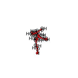 CO[C@H]1O[C@H](CO[C@H]2O[C@H](CO[C@H]3O[C@H](CO[C@H]4O[C@H](CO)[C@@H](OCCCCCC(=O)NCCNC(=O)CCSSc5ccccn5)[C@H](O)[C@H]4O)[C@@H](OCCCCCC(=O)NNC(=O)OC(C)(C)C)[C@H](O)[C@H]3O)[C@@H](OCCCCCC(=O)O)[C@H](O)[C@H]2O)[C@@H](O)[C@H](O)[C@H]1O